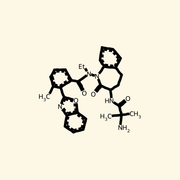 CCN(C(=O)c1cccc(C)c1-c1nc2ccccc2o1)N1C(=O)C(NC(=O)C(C)(C)N)CCc2ccccc21